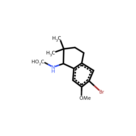 COc1cc2c(cc1Br)CCC(C)(C)C2NC(=O)O